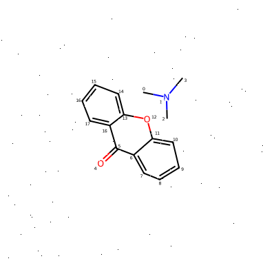 CN(C)C.O=c1c2ccccc2oc2ccccc12